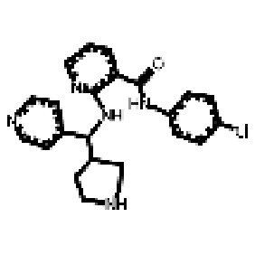 O=C(Nc1ccc(Cl)cc1)c1cccnc1NC(c1ccncc1)C1CCNCC1